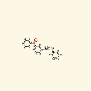 O=C(c1ccccc1)c1cccc(C#CCc2ccccc2)c1